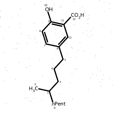 CCCCCC(C)CCCc1ccc(O)c(C(=O)O)c1